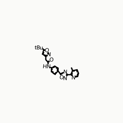 Cc1cccnc1-c1noc(-c2ccc(NC(=O)Cc3cc(C(C)(C)C)on3)cc2)n1